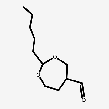 CCCCCC1OCCC(C=O)CO1